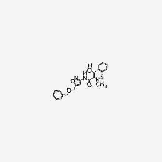 CN1Sc2ccccc2C(O)=C1C(=O)Nc1cc(COCc2ccccc2)on1